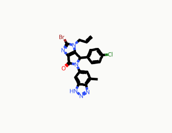 C=CCn1c(Br)nc2c1C(c1ccc(Cl)cc1)N(c1cc(C)c3nn[nH]c3c1)C2=O